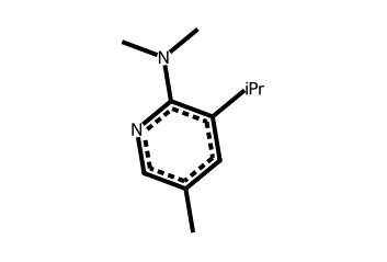 Cc1cnc(N(C)C)c(C(C)C)c1